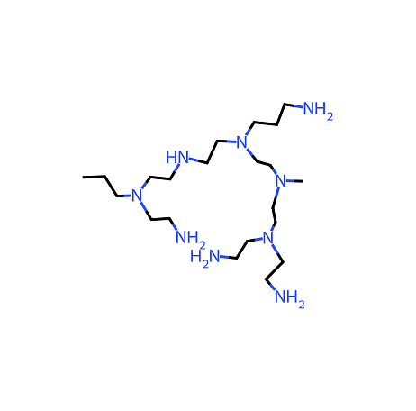 CCCN(CCN)CCNCCN(CCCN)CCN(C)CCN(CCN)CCN